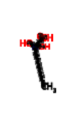 CCCCCCCCCCCCCCCCCC[N+](CCO)(CCO)CCCCC(=O)O